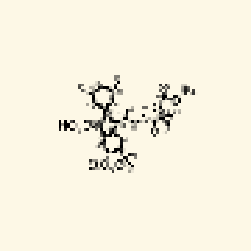 CCOC(=O)C(C)(C)c1ccc2c(c1)c(C(C)CNC(=O)C1(OC(=O)OC(C)(C)C)CC1)c(-c1cc(C)cc(C)c1)n2C(=O)O